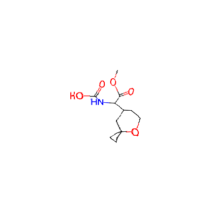 COC(=O)C(NC(=O)O)C1CCOC2(CC2)C1